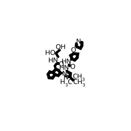 CC(C)(C)c1cc(NC(=O)Nc2cccc(Oc3cccnc3)c2)n(-c2cc(CC(=O)NCC(O)CO)c3ccccc3c2)n1